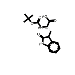 CC(C)(C)OC(=O)N[C@@H](CC1C(=O)Nc2ccccc21)C(=O)O